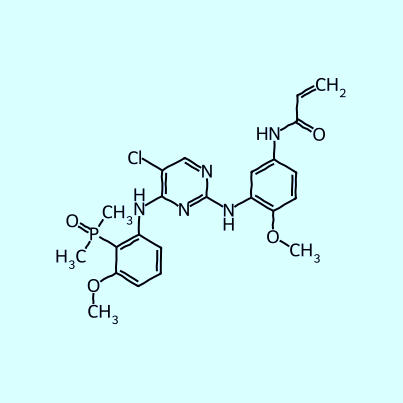 C=CC(=O)Nc1ccc(OC)c(Nc2ncc(Cl)c(Nc3cccc(OC)c3P(C)(C)=O)n2)c1